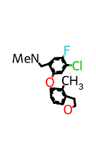 CNCc1cc(F)c(Cl)cc1Oc1ccc2c(c1C)CCO2